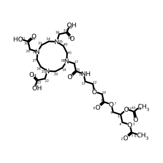 CC(=O)OCC(COC(=O)COCCNC(=O)CN1CCN(CC(=O)O)CCN(CC(=O)O)CCN(CC(=O)O)CC1)OC(C)=O